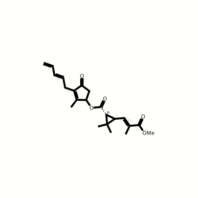 C=C/C=C/CC1=C(C)C(OC(=O)[C@@H]2C(/C=C(\C)C(=O)OC)C2(C)C)CC1=O